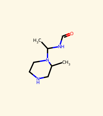 CC1CNCCN1C(C)N[C]=O